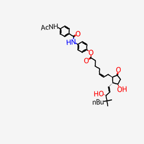 CCCCC(C)(C)[C@H](O)/C=C/[C@H]1[C@H](O)CC(=O)[C@@H]1C/C=C\CCCC(=O)Oc1ccc(NC(=O)c2ccc(NC(C)=O)cc2)cc1